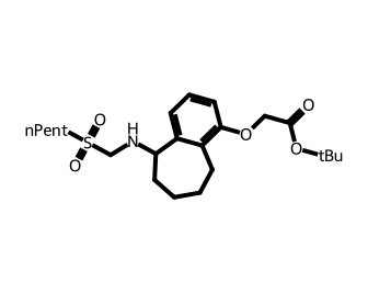 CCCCCS(=O)(=O)CNC1CCCCc2c(OCC(=O)OC(C)(C)C)cccc21